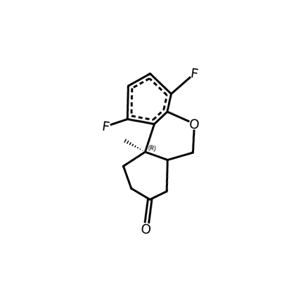 C[C@@]12CCC(=O)CC1COc1c(F)ccc(F)c12